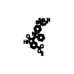 CCOC(=O)c1ccc2c(c1)/C(=C(/Nc1ccc(N(CC#N)S(C)(=O)=O)cc1)c1ccccc1)C(=O)N2